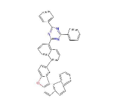 c1ccc(-c2nc(-c3ccccc3)nc(-c3cccc4c(-c5ccc6oc7ccc8ccc9ccccc9c8c7c6c5)cccc34)n2)cc1